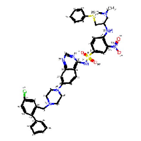 CN(C)CC(CSc1ccccc1)Nc1ccc(S(=O)(=O)Nc2ncnc3cc(N4CCN(Cc5cc(Cl)ccc5-c5ccccc5)CC4)ccc23)cc1[N+](=O)[O-]